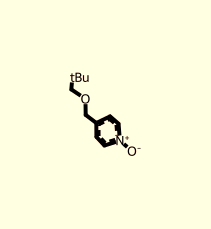 CC(C)(C)COCc1cc[n+]([O-])cc1